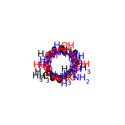 CCCC[C@H]1C(=O)N(C)CC(=O)NC(CC(=O)O)C(=O)N[C@@H](CO)C(=O)N(C)[C@@H](Cc2ccccc2)C(=O)N[C@@H](Cc2ccc(O)cc2)C(=O)N(C)CC(=O)N[C@@H](Cc2c[nH]c3ccccc23)C(=O)N[C@@H](Cc2ccc(O)cc2)C(=O)N[C@@H](CC(C)C)C(=O)N[C@H](C(=O)NCC(N)=O)CSCC(=O)N[C@@H](Cc2ccccc2)C(=O)N(C)[C@@H](Cc2ccccc2)C(=O)N1C